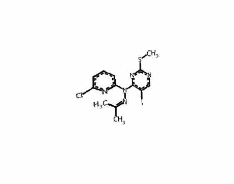 CSc1ncc(I)c(N(N=C(C)C)c2cccc(Cl)n2)n1